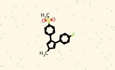 CC1C=C(c2ccc(F)cc2)C(c2ccc(S(C)(=O)=O)cc2)=C1